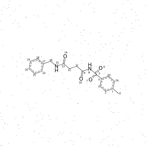 Cc1ccc(S(=O)(=O)NC(=O)CCC(=O)NCc2ccccc2)cc1